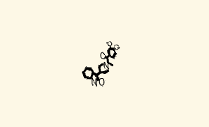 COc1ccc(C(=O)C(C)N2CCC(C3=c4ccccc4=NC3=O)CC2)cc1OC